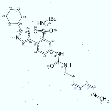 C=N/C=C\C=C/CCNC(=O)Nc1ccc(-c2cnc(C3CCCCC3)s2)c(S(=O)(=O)NC(C)(C)C)c1